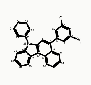 Clc1cc(Br)cc(-c2cc3c(c4ccccc24)c2ccccc2n3-c2ccccc2)c1